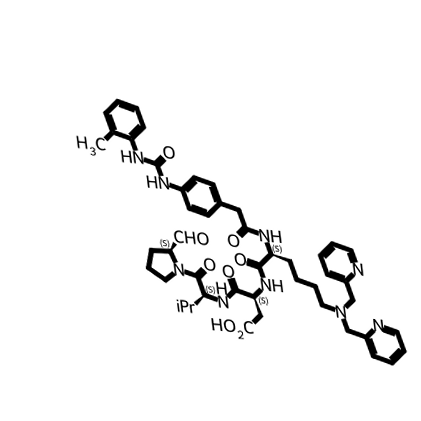 Cc1ccccc1NC(=O)Nc1ccc(CC(=O)N[C@@H](CCCCN(Cc2ccccn2)Cc2ccccn2)C(=O)N[C@@H](CC(=O)O)C(=O)N[C@H](C(=O)N2CCC[C@H]2C=O)C(C)C)cc1